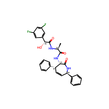 C[C@H](NC(=O)[C@H](O)c1cc(F)cc(F)c1)C(=O)N[C@@H]1C(=O)N[C@@H](c2ccccc2)C=C[C@@H]1c1ccccc1